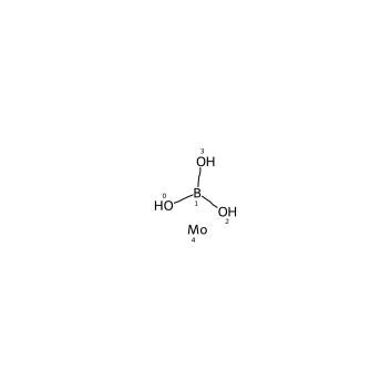 OB(O)O.[Mo]